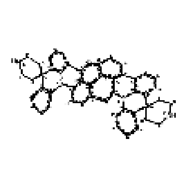 c1ccc2c(c1)B1c3c(cccc3C23CCNCC3)-c2cc3ccc4c5c(cc6ccc1c2c6c35)B1c2ccccc2C2(CCNCC2)c2cccc-4c21